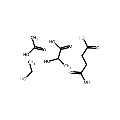 CC(=O)O.CC(O)C(=O)O.CCO.O=C(O)CCC(=O)O